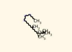 C=C(CCCCCC/C=C\C/C=C\C/C=C\CCCCC)CCCCCP(=C)(CC)CCCN(C)C